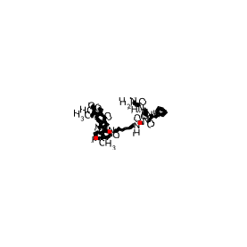 CC[C@@]1(O)C(=O)OCC2=C1C=C1c3nc4cc(F)c(C)c5c4c(c3CC1C2=O)[C@@H](NC(=O)CCCCCNC(=O)CNC(=O)[C@H](Cc1ccccc1)NC(=O)CNC(=O)CN)CC5